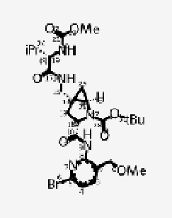 COCc1ccc(Br)nc1NC(=O)[C@@H]1C[C@@]2(CNC(=O)[C@@H](NC(=O)OC)C(C)C)C[C@H]2N1C(=O)OC(C)(C)C